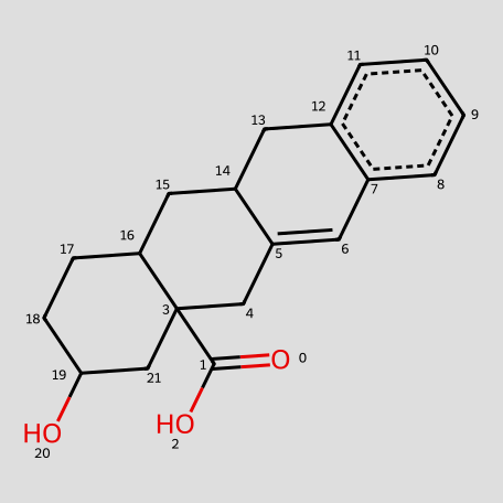 O=C(O)C12CC3=Cc4ccccc4CC3CC1CCC(O)C2